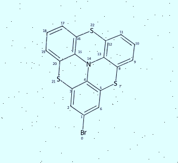 Brc1cc2c3c(c1)Sc1cccc4c1N3c1c(cccc1S2)S4